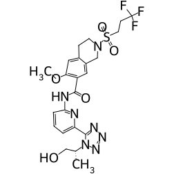 COc1cc2c(cc1C(=O)Nc1cccc(-c3nnnn3[C@H](C)CO)n1)CN(S(=O)(=O)CCC(F)(F)F)CC2